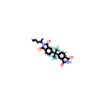 C=C/C=C(\C)N1C(=O)c2ccc(C(c3ccc4c(c3)C(=O)NC4=O)(C(F)(F)F)C(F)(F)F)cc2C1=O